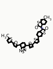 Cc1ccc2c(c1)SC(=O)/C2=C1/C(=O)Sc2cc(-c3ccc(-c4ccc(-c5ccc(-c6ccc(-c7ccc(C)s7)o6)c6nsnc56)o4)s3)ccc21